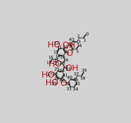 C=CCc1ccc(Oc2c(O)c(O)cc(CC=C)c2CC(O)C(O)c2cc(O)c(O)c(Oc3cccc(CC=C)c3)c2)cc1